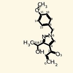 C=CC(=O)c1cn(Cc2ccc(OC)cc2)nc1C(C)O